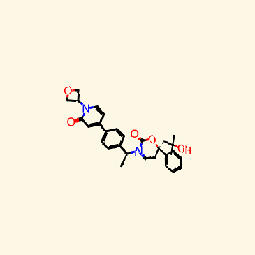 C[C@@H](c1ccc(-c2ccn(C3COC3)c(=O)c2)cc1)N1CC[C@](CC(C)(C)O)(c2ccccc2)OC1=O